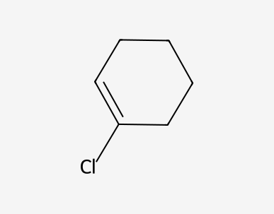 ClC1=CCCCC1